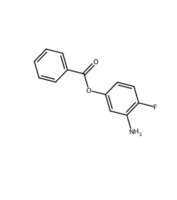 Nc1cc(OC(=O)c2ccccc2)ccc1F